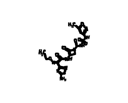 CCO/N=C(\C(=O)N[C@H]1CN(C(=O)NS(=O)(=O)Nc2cc(C)on2)C1=O)c1nsc(N)n1